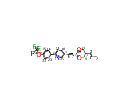 CC=C[C@H]1CO[C@H](C#Cc2ccc(-c3ccc(OC(F)(F)F)cc3)nc2)OC1